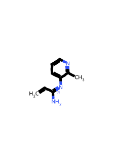 C=C/C(N)=N\c1cccnc1C